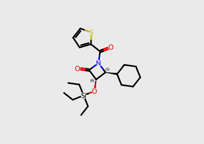 CC[Si](CC)(CC)O[C@H]1C(=O)N(C(=O)c2cccs2)[C@H]1C1CCCCC1